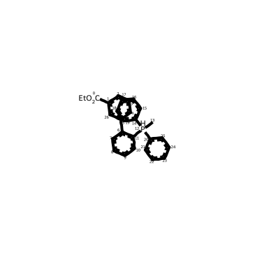 CCOC(=O)c1cccc(-c2ccccc2[PH](C)(c2ccccc2)c2ccccc2)c1